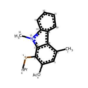 CCCSc1c(OC(C)=O)cc(C)c2c3ccccc3n(C)c12